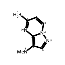 Bc1ccn2ncc(NC)c2n1